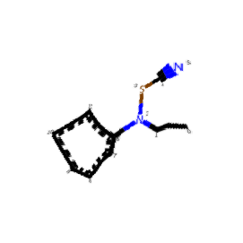 CCN(SC#N)c1ccccc1